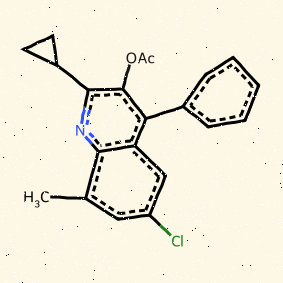 CC(=O)Oc1c(C2CC2)nc2c(C)cc(Cl)cc2c1-c1ccccc1